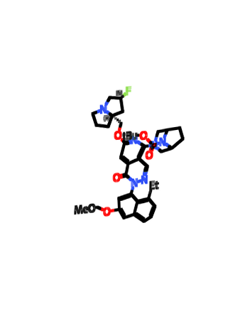 CCc1cccc2cc(OCOC)cc(-n3ncc4c(N5CC6CCC(C5)N6C(=O)OC(C)(C)C)nc(OC[C@]56CCCN5C[C@@H](F)C6)cc4c3=O)c12